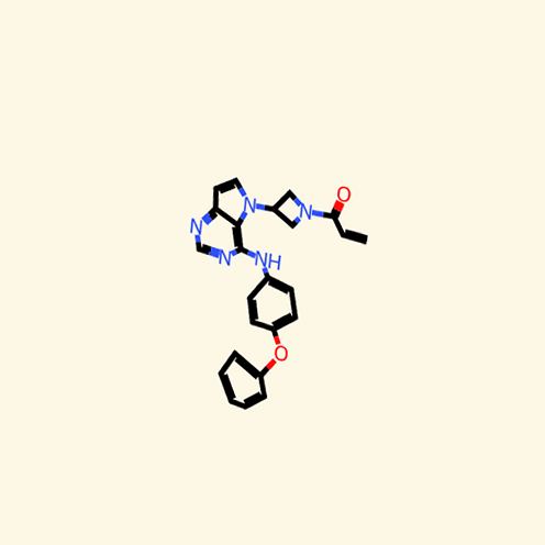 C=CC(=O)N1CC(n2ccc3ncnc(Nc4ccc(Oc5ccccc5)cc4)c32)C1